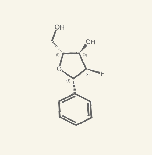 OC[C@H]1O[C@@H](c2ccccc2)[C@H](F)[C@@H]1O